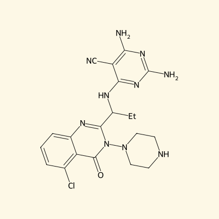 CCC(Nc1nc(N)nc(N)c1C#N)c1nc2cccc(Cl)c2c(=O)n1N1CCNCC1